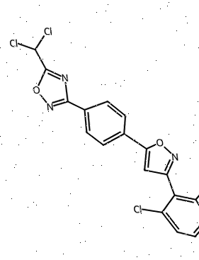 Fc1cccc(Cl)c1-c1cc(-c2ccc(-c3noc(C(Cl)Cl)n3)cc2)on1